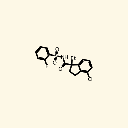 CCC1(C(=O)NS(=O)(=O)c2ccccc2F)CCc2c(Cl)cccc21